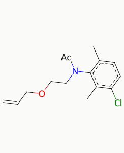 C=CCOCCN(C(C)=O)c1c(C)ccc(Cl)c1C